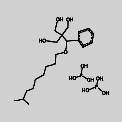 CC(C)CCCCCCCOC(c1ccccc1)C(CO)(CO)CO.OP(O)O.OP(O)O